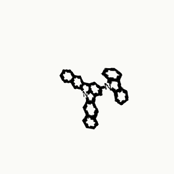 c1ccc2cc3c(cc2c1)c1cc(-n2c4ccccc4c4ccccc42)cc2c4cc5ccccc5cc4n3c12